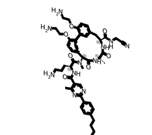 CCCCc1ccc(-c2ncc(C(=O)N[C@@H](CCCN)C(=O)N(C)[C@@H]3C(=O)N[C@@H](C)C(=O)N[C@H](C(=O)NCC#N)Cc4ccc(OCCN)c(c4)-c4cc3ccc4OCCN)c(C)n2)cc1